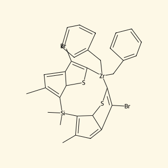 CC1=C2C3S[C](=C(Br)C3=C1)[Zr]([CH2]c1ccccc1)([CH2]c1ccccc1)[C]1=C(Br)C3=CC(C)=C(C3S1)[Si]2(C)C